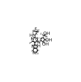 Cc1nc(NCC(F)(F)F)nc(N[C@@H]2C[C@H](C(C)(C)O)[C@@H](O)[C@H]2O)c1-c1nc2cnccc2s1